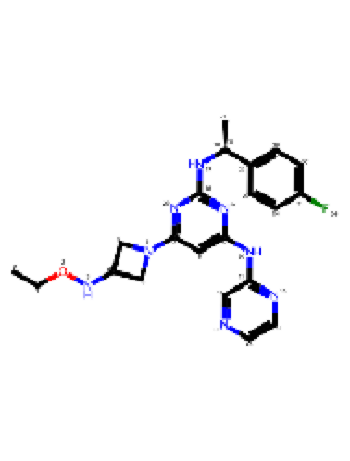 CCONC1CN(c2cc(Nc3cnccn3)nc(N[C@@H](C)c3ccc(F)cc3)n2)C1